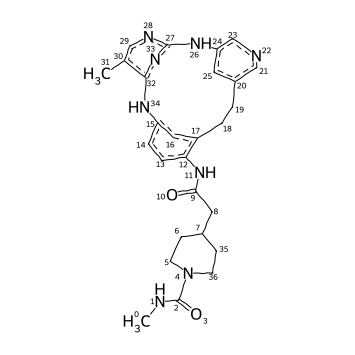 CNC(=O)N1CCC(CC(=O)Nc2ccc3cc2CCc2cncc(c2)Nc2ncc(C)c(n2)N3)CC1